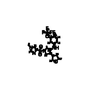 Cn1cnc(S(=O)(=O)N2C[C@H](Nc3ccc(F)c(OC(F)(F)F)c3)[C@@H](C3CCOC3)C2)c1